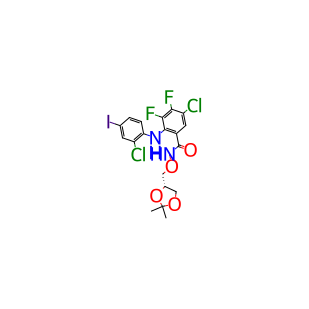 CC1(C)OC[C@@H](CONC(=O)c2cc(Cl)c(F)c(F)c2Nc2ccc(I)cc2Cl)O1